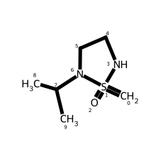 C=S1(=O)NCCN1C(C)C